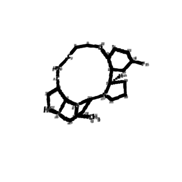 CCN1C2C3CNCCCOC4CCC(F)CC4[C@H]4CCCN4C1CCN2NC3